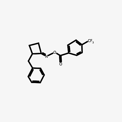 O=C(O/N=C1\CCC1Cc1ccccc1)c1ccc(C(F)(F)F)cc1